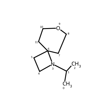 CC(C)N1CCC12CCOCC2